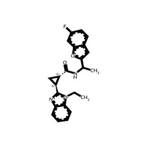 CCn1c([C@H]2C[C@@H]2C(=O)NC(C)c2cc3ccc(F)cc3o2)nc2ccccc21